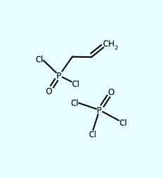 C=CCP(=O)(Cl)Cl.O=P(Cl)(Cl)Cl